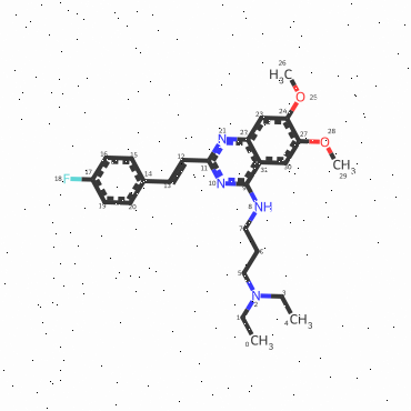 CCN(CC)CCCNc1nc(/C=C/c2ccc(F)cc2)nc2cc(OC)c(OC)cc12